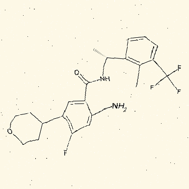 Cc1c([C@@H](C)NC(=O)c2cc(C3CCOCC3)c(F)cc2N)cccc1C(F)(F)F